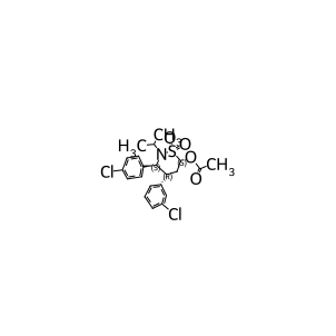 CC(=O)O[C@@H]1C[C@H](c2cccc(Cl)c2)[C@@H](c2ccc(Cl)cc2)N(C(C)C)S1(=O)=O